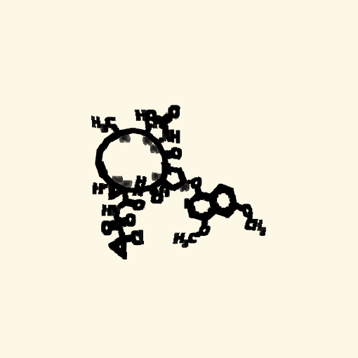 COc1ccc2c(O[C@@H]3C[C@H]4C(=O)N[C@]5(C(=O)NS(=O)(=O)C6(Cl)CC6)C[C@H]5C=CCC[C@@H](C)C[C@@H](C)[C@H](NC(=O)O)C(=O)N4C3)ncc(OC)c2c1